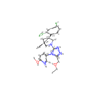 CCOCc1nnc(N2C[C@@H]3C[C@]3(c3ccc(F)cc3Cl)C2)n1-c1ccc(OC)nc1